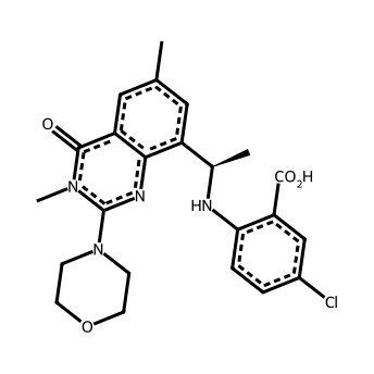 Cc1cc([C@@H](C)Nc2ccc(Cl)cc2C(=O)O)c2nc(N3CCOCC3)n(C)c(=O)c2c1